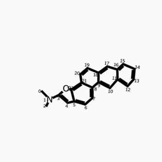 CN(C)c1cc2ccc3c4cc5ccccc5cc4ccc3c2o1